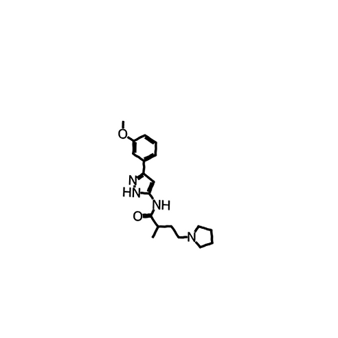 COc1cccc(-c2cc(NC(=O)C(C)CCN3CCCC3)[nH]n2)c1